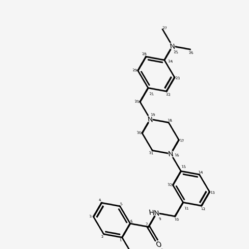 Cc1ccccc1C(=O)NCc1cccc(N2CCN(Cc3ccc(N(C)C)cc3)CC2)c1